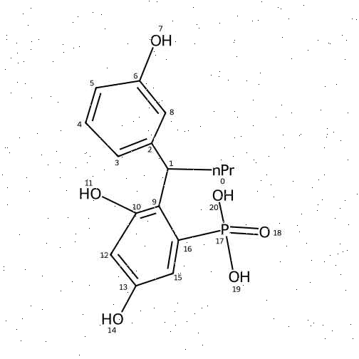 CCCC(c1cccc(O)c1)c1c(O)cc(O)cc1P(=O)(O)O